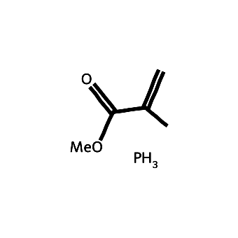 C=C(C)C(=O)OC.P